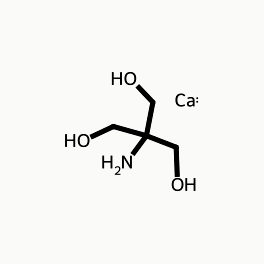 NC(CO)(CO)CO.[Ca]